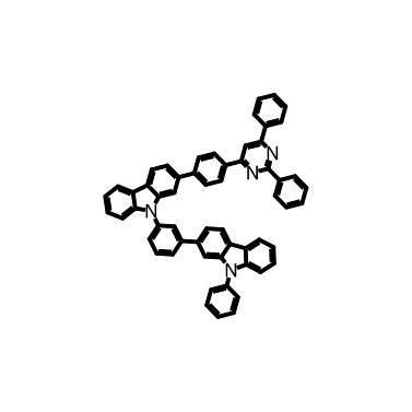 c1ccc(-c2cc(-c3ccc(-c4ccc5c6ccccc6n(-c6cccc(-c7ccc8c9ccccc9n(-c9ccccc9)c8c7)c6)c5c4)cc3)nc(-c3ccccc3)n2)cc1